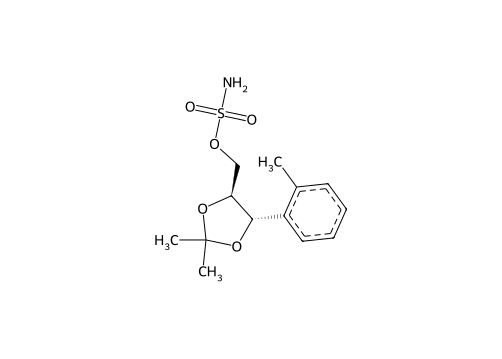 Cc1ccccc1[C@@H]1OC(C)(C)O[C@H]1COS(N)(=O)=O